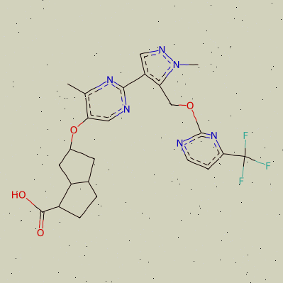 Cc1nc(-c2cnn(C)c2COc2nccc(C(F)(F)F)n2)ncc1OC1CC2CCC(C(=O)O)C2C1